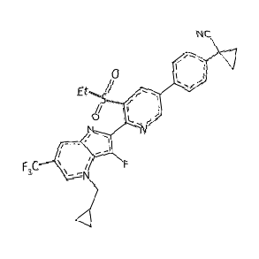 CCS(=O)(=O)c1cc(-c2ccc(C3(C#N)CC3)cc2)cnc1-c1nc2cc(C(F)(F)F)cn(CC3CC3)c-2c1F